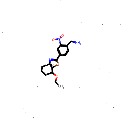 CCOC1CCCc2nc(-c3ccc(CN)c([N+](=O)[O-])c3)sc21